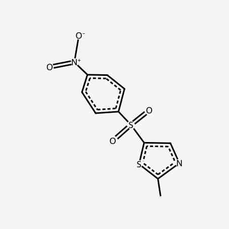 Cc1ncc(S(=O)(=O)c2ccc([N+](=O)[O-])cc2)s1